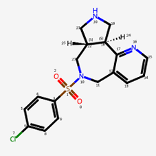 O=S(=O)(c1ccc(Cl)cc1)N1Cc2cccnc2[C@@H]2CNC[C@H]2C1